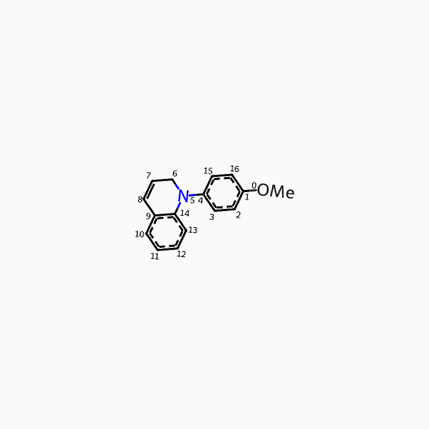 COc1ccc(N2CC=Cc3ccccc32)cc1